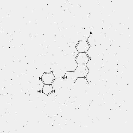 CCN(C)Cc1nc2cc(F)ccc2cc1CCNc1ncnc2[nH]cnc12